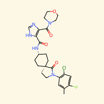 Cc1cc(N2CC[C@]3(CC[C@@H](NC(=O)c4[nH]cnc4C(=O)N4CCOCC4)CC3)C2=O)c(Cl)cc1F